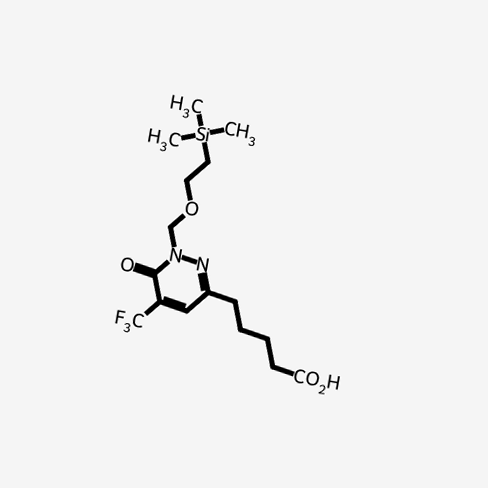 C[Si](C)(C)CCOCn1nc(CCCCC(=O)O)cc(C(F)(F)F)c1=O